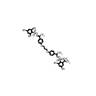 C/C(=N\OS(=O)(=O)c1c(C(C)C)cc(C(C)C)cc1C(C)C(F)(F)F)c1ccc(OCCCOc2ccc(/C(=N/OS(=O)(=O)c3c(C(C)C)cc(C(C)C)cc3C(C)C)C(F)(F)F)cc2)cc1